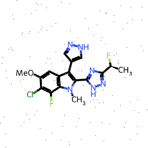 COc1cc2c(-c3cn[nH]c3)c(-c3nc([C@H](C)F)n[nH]3)n(C)c2c(F)c1Cl